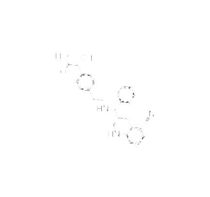 C[C@@H](C(=O)O)c1ccc(CCN[C@H](c2ccccc2)[C@@H]2CNc3cccc(C#N)c3C2)cc1